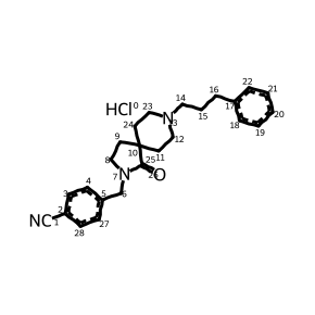 Cl.N#Cc1ccc(CN2CCC3(CCN(CCCc4ccccc4)CC3)C2=O)cc1